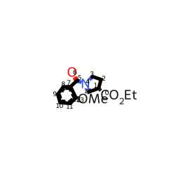 CCOC(=O)C1CCN(C(=O)c2ccccc2OC)C1